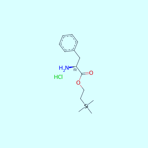 C[Si](C)(C)CCOC(=O)[C@@H](N)Cc1ccccc1.Cl